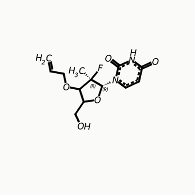 C=CCOC1C(CO)O[C@@H](n2ccc(=O)[nH]c2=O)[C@]1(C)F